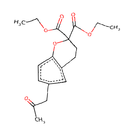 CCOC(=O)C1(C(=O)OCC)CCc2cc(CC(C)=O)ccc2O1